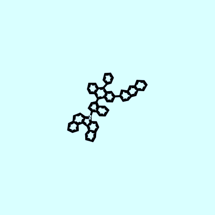 c1ccc(-c2c3ccccc3c(-c3ccc(-n4c5ccc6ccccc6c5c5c6ccccc6ccc54)c4ccccc34)c3ccc(-c4ccc5cc6ccccc6cc5c4)cc23)cc1